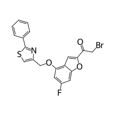 O=C(CBr)c1cc2c(OCc3csc(-c4ccccc4)n3)cc(F)cc2o1